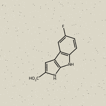 O=C(O)c1cc2c([nH]1)[nH]c1ccc(F)cc12